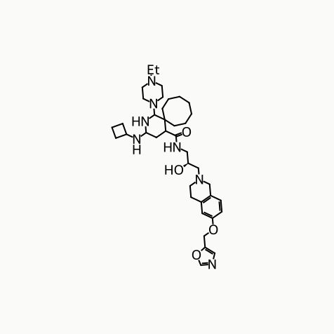 CCN1CCN(C2NC(NC3CCC3)CC(C(=O)NC[C@H](O)CN3CCc4cc(OCc5cnco5)ccc4C3)C23CCCCCCC3)CC1